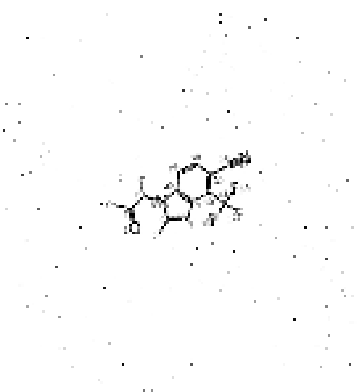 CC(=O)C(C)n1c(C)cc2c(C(F)(F)F)c(C#N)ccc21